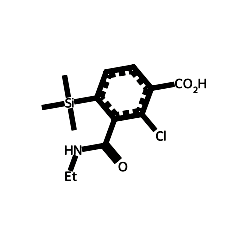 CCNC(=O)c1c([Si](C)(C)C)ccc(C(=O)O)c1Cl